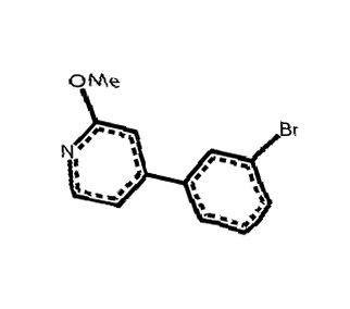 COc1cc(-c2cccc(Br)c2)ccn1